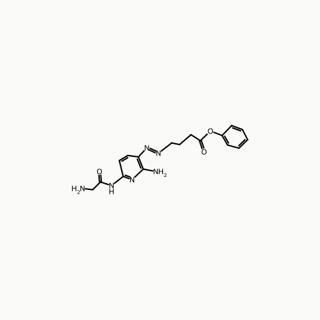 NCC(=O)Nc1ccc(/N=N/CCCC(=O)Oc2ccccc2)c(N)n1